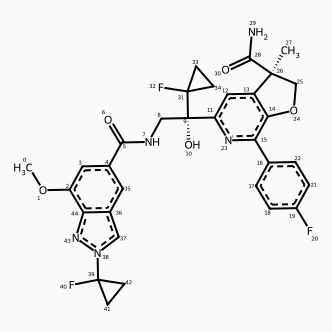 COc1cc(C(=O)NC[C@](O)(c2cc3c(c(-c4ccc(F)cc4)n2)OC[C@]3(C)C(N)=O)C2(F)CC2)cc2cn(C3(F)CC3)nc12